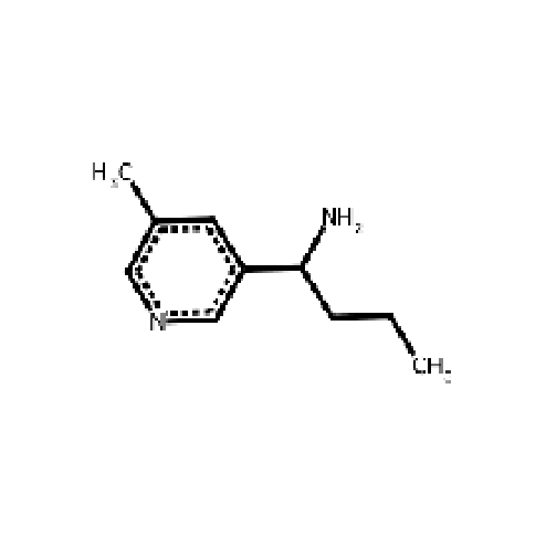 CCCC(N)c1cncc(C)c1